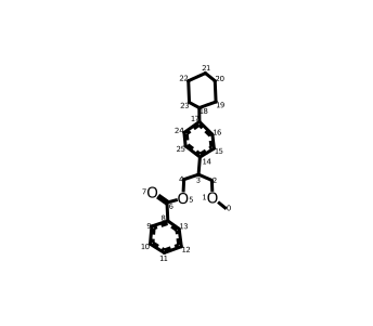 COCC(COC(=O)c1ccccc1)c1ccc(C2CCCCC2)cc1